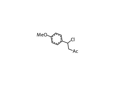 COc1ccc(C(Cl)CC(C)=O)cc1